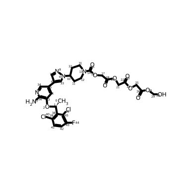 C[C@@H](Oc1cc(-c2cnn(C3CCN(C(=O)OCC(=O)OCC(=O)OCC(=O)OCO)CC3)c2)cnc1N)c1c(Cl)ccc(F)c1Cl